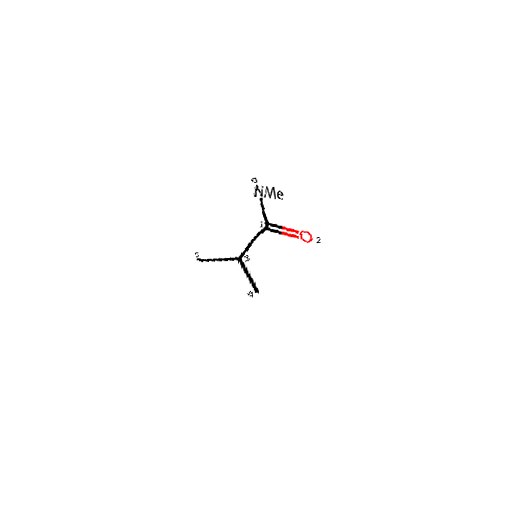 CNC(=O)C(C)C